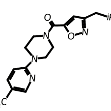 Cc1ccc(N2CCN(C(=O)c3cc(CC(C)C)no3)CC2)nc1